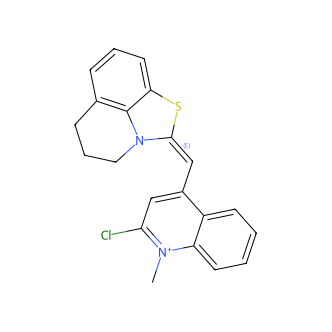 C[n+]1c(Cl)cc(/C=C2/Sc3cccc4c3N2CCC4)c2ccccc21